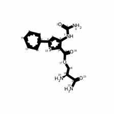 NC(=O)Nc1cc(-c2ccccc2)sc1C(=O)OC[C@H](N)C(N)=O